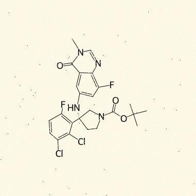 Cn1cnc2c(F)cc(N[C@@]3(c4c(F)ccc(Cl)c4Cl)CCN(C(=O)OC(C)(C)C)C3)cc2c1=O